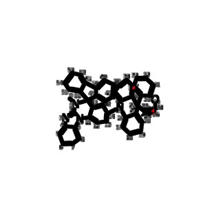 CN1c2nc3ccccc3n2-c2ccc(N3c4ccccc4C4(c5ccccc5Oc5ccccc54)c4ccccc43)cc2C12c1ccccc1-c1ccccc12